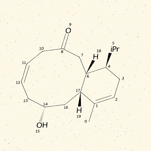 CC1=CC[C@H](C(C)C)[C@H]2CC(=O)CC=CC[C@@H](O)C[C@@H]12